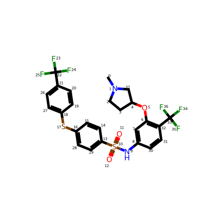 CN1CCC(Oc2cc(NS(=O)(=O)c3ccc(Sc4ccc(C(F)(F)F)cc4)cc3)ccc2C(F)(F)F)C1